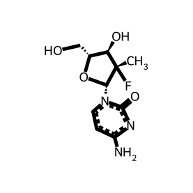 C[C@]1(F)[C@H](O)[C@@H](CO)O[C@H]1n1ccc(N)nc1=O